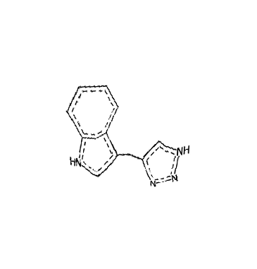 c1ccc2c(-c3c[nH]nn3)c[nH]c2c1